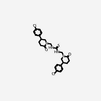 O=C1CCC(c2ccc(Cl)cc2)CN1CNC(=S)NCN1CC(c2ccc(Cl)cc2)CCC1=O